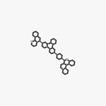 c1ccc2c(c1)cc(-c1ccc3c4ccc(-c5ccc(-c6nc7ccccc7c7c6ccc6ccccc67)cc5)cc4c4ccccc4c3c1)c1cccnc12